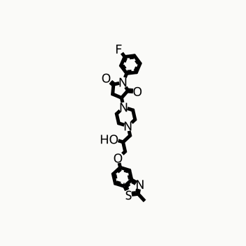 Cc1nc2cc(OCC(O)CN3CCN(C4CC(=O)N(c5cccc(F)c5)C4=O)CC3)ccc2s1